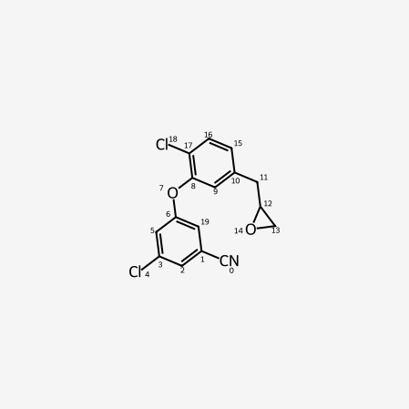 N#Cc1cc(Cl)cc(Oc2cc(CC3CO3)ccc2Cl)c1